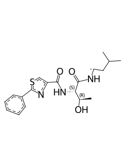 CC(C)C[CH]NC(=O)[C@@H](NC(=O)c1csc(-c2ccccc2)n1)[C@@H](C)O